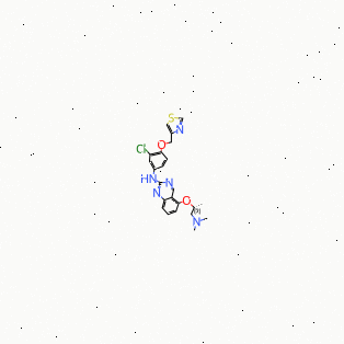 C[C@H](CN(C)C)Oc1cccc2nc(Nc3ccc(OCc4cscn4)c(Cl)c3)ncc12